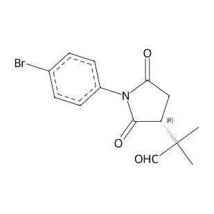 CC(C)(C=O)[C@H]1CC(=O)N(c2ccc(Br)cc2)C1=O